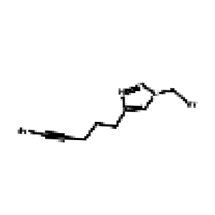 CC(C)C#CCCCc1cn(CC(C)C)nn1